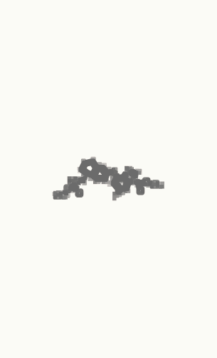 CC(C)(C)OC(=O)NC[C@@H]1CCCc2cc(Sc3cc(F)cc4c3ncn4C(=O)OC(C)(C)C)ccc21